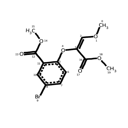 COC=C(Oc1ccc(Br)cc1C(=O)OC)C(=O)OC